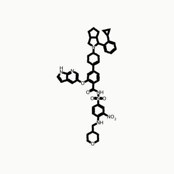 O=C(NS(=O)(=O)c1ccc(NCC2CCOCC2)c([N+](=O)[O-])c1)c1ccc(C2=CCC(N3CC4CCCC4C3c3ccccc3C3CC3)CC2)cc1Oc1cnc2[nH]ccc2c1